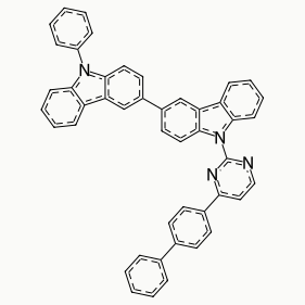 c1ccc(-c2ccc(-c3ccnc(-n4c5ccccc5c5cc(-c6ccc7c(c6)c6ccccc6n7-c6ccccc6)ccc54)n3)cc2)cc1